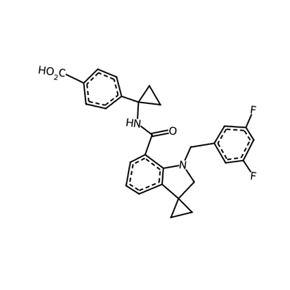 O=C(O)c1ccc(C2(NC(=O)c3cccc4c3N(Cc3cc(F)cc(F)c3)CC43CC3)CC2)cc1